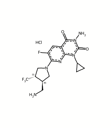 Cl.NC[C@@H]1CN(c2nc3c(cc2F)c(=O)n(N)c(=O)n3C2CC2)C[C@H]1C(F)(F)F